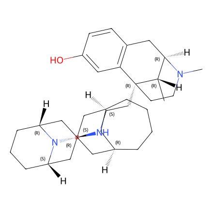 C[C@H]1[C@H]2Cc3ccc(O)cc3[C@]1(CCN[C@@H]1C[C@H]3CCC[C@@H](C1)N3[C@H]1C[C@@H]3CCCC[C@@H](C3)C1)CCN2C